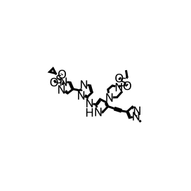 CCS(=O)(=O)N1CCN(c2cc(Nc3ccnc(-c4cnn(S(=O)(=O)C5CC5)c4)n3)ncc2C#Cc2cnn(C)c2)CC1